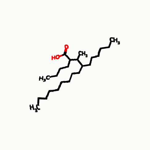 CCCCCCCCCC(CCCCCC)C(C)C(CCCC)C(=O)O